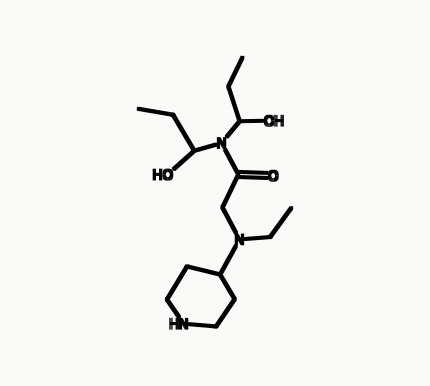 CCC(O)N(C(=O)CN(CC)C1CCNCC1)C(O)CC